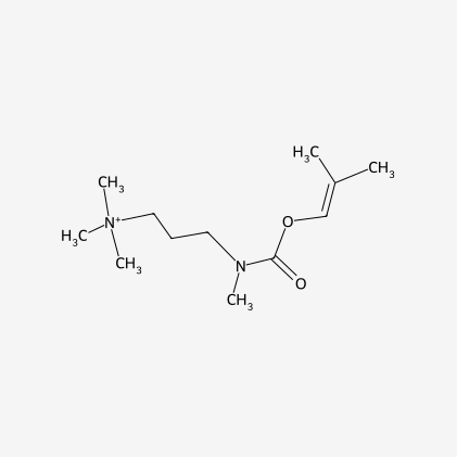 CC(C)=COC(=O)N(C)CCC[N+](C)(C)C